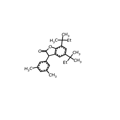 CCC(C)(C)c1cc2c(c(C(C)(C)CC)c1)OC(=O)C2c1cc(C)cc(C)c1